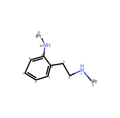 CC(C)NCCc1ccccc1NC(C)C